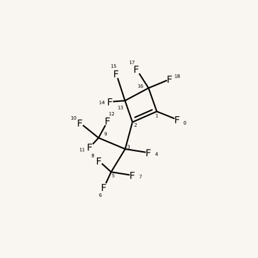 FC1=C(C(F)(C(F)(F)F)C(F)(F)F)C(F)(F)C1(F)F